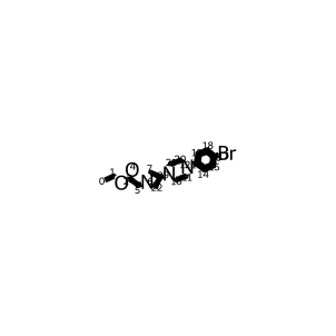 CCOC(=O)CN1CC(N2CCN(c3ccc(Br)cc3)CC2)C1